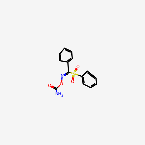 NC(=O)ON=C(c1ccccc1)S(=O)(=O)c1ccccc1